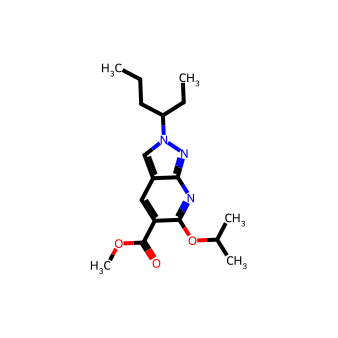 CCCC(CC)n1cc2cc(C(=O)OC)c(OC(C)C)nc2n1